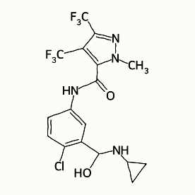 Cn1nc(C(F)(F)F)c(C(F)(F)F)c1C(=O)Nc1ccc(Cl)c(C(O)NC2CC2)c1